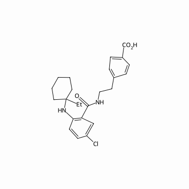 CCC1(Nc2ccc(Cl)cc2C(=O)NCCc2ccc(C(=O)O)cc2)CCCCC1